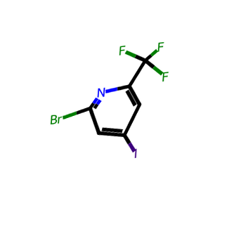 FC(F)(F)c1cc(I)cc(Br)n1